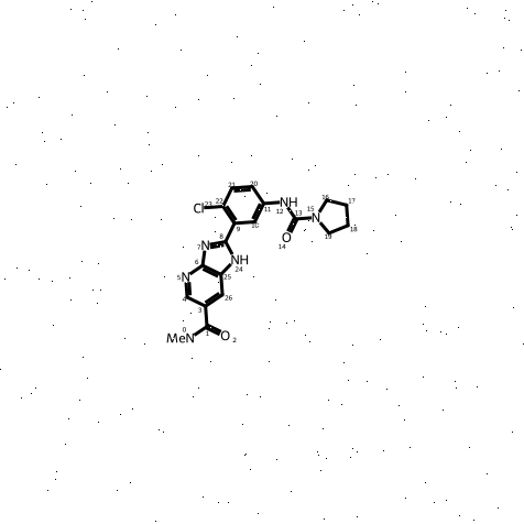 CNC(=O)c1cnc2nc(-c3cc(NC(=O)N4CCCC4)ccc3Cl)[nH]c2c1